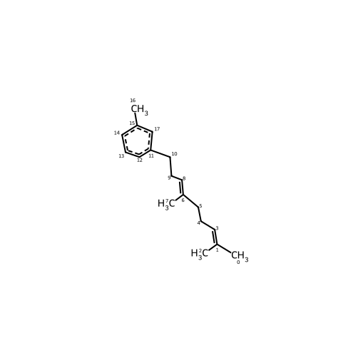 CC(C)=CCC/C(C)=C/CCc1cccc(C)c1